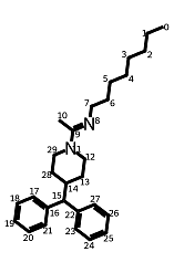 CCCCCCCC/N=C(\C)N1CCC(C(c2ccccc2)c2ccccc2)CC1